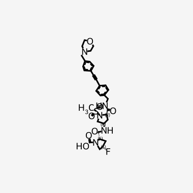 CS(=O)(=O)N1C[C@H](NC(=O)[C@@H]2C[C@H](F)CN2C(=O)O)C[C@@H]1C(=O)NCc1ccc(C#Cc2ccc(CN3CCOCC3)cc2)cc1